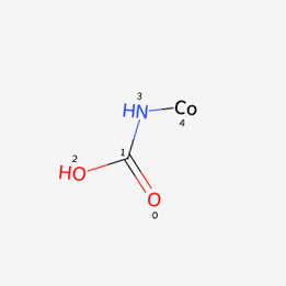 O=C(O)[NH][Co]